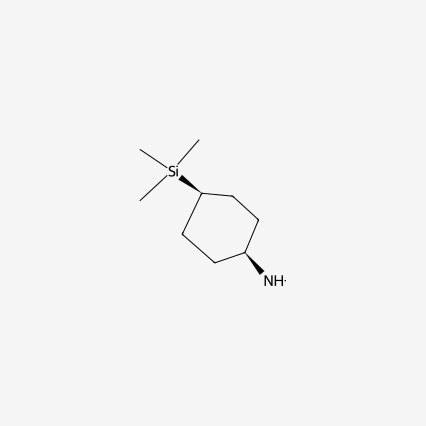 C[Si](C)(C)[C@H]1CC[C@@H]([NH])CC1